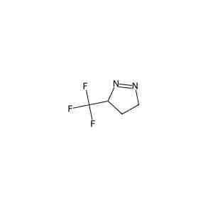 FC(F)(F)C1CCN=N1